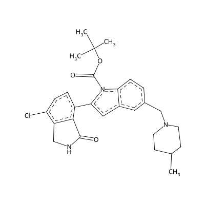 CC1CCN(Cc2ccc3c(c2)cc(-c2ccc(Cl)c4c2C(=O)NC4)n3C(=O)OC(C)(C)C)CC1